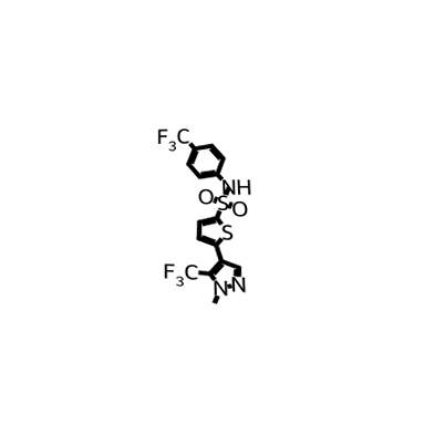 Cn1ncc(-c2ccc(S(=O)(=O)Nc3ccc(C(F)(F)F)cc3)s2)c1C(F)(F)F